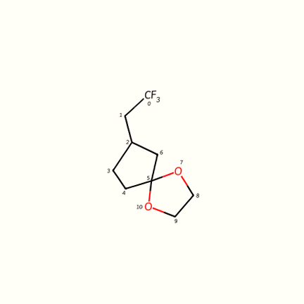 FC(F)(F)CC1CCC2(C1)OCCO2